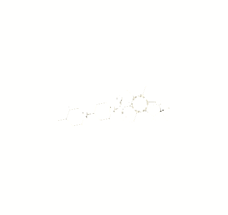 Cc1c(C)c(S(=O)(=O)N2CCC(N3CCC(C)CC3)CC2)c(C)c2c1OC(C)(C)C2